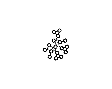 c1ccc(-c2cc3c4c(c2)N(c2ccc5c6ccccc6c6ccccc6c5c2)c2cc5c(cc2B4c2ccccc2N3c2ccccc2)B2c3ccccc3N(c3ccc4c6ccccc6c6ccccc6c4c3)c3cc(-c4ccccc4)cc(c32)N5c2ccc3c4ccccc4c4ccccc4c3c2)cc1